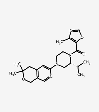 Cc1ncoc1C(=O)N1CCN(c2cc3c(cn2)COC(C)(C)C3)C[C@H]1C(C)C